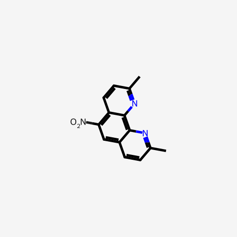 Cc1ccc2cc([N+](=O)[O-])c3ccc(C)nc3c2n1